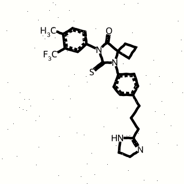 Cc1ccc(N2C(=O)C3(CCC3)N(c3ccc(CCCC4=NCCN4)cc3)C2=S)cc1C(F)(F)F